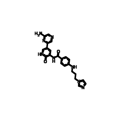 Nc1cncc(-c2c[nH]c(=O)c(NC(=O)c3ccc(NCCCn4ccnc4)cc3)c2)n1